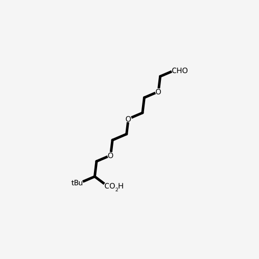 CC(C)(C)C(COCCOCCOCC=O)C(=O)O